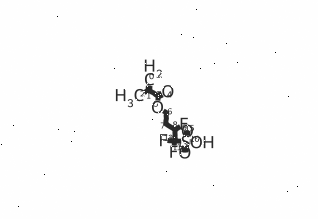 C=C(C)C(=O)OCCC(F)C(F)(F)S(=O)(=O)O